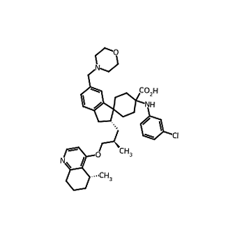 C[C@@H](COc1ccnc2c1[C@H](C)CCC2)C[C@@H]1Cc2ccc(CN3CCOCC3)cc2C12CCC(Nc1cccc(Cl)c1)(C(=O)O)CC2